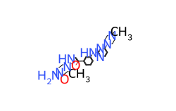 CC1C(=O)N(N)CCN1C1NC=C(c2cccc(Nc3nccc(N4CCN(C)CC4)n3)c2)O1